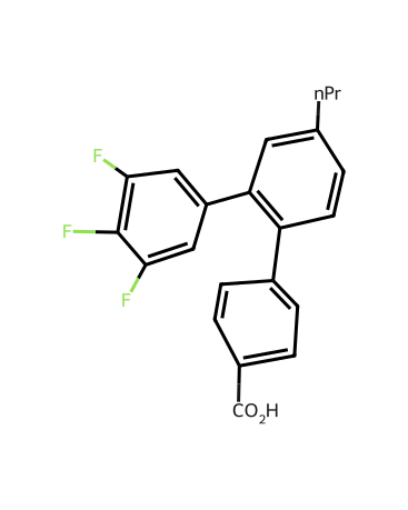 CCCc1ccc(-c2ccc(C(=O)O)cc2)c(-c2cc(F)c(F)c(F)c2)c1